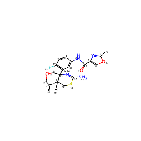 Cc1nc(C(=O)Nc2ccc(F)c([C@]34COC[C@H](C)[C@H]3CSC(N)=N4)c2)co1